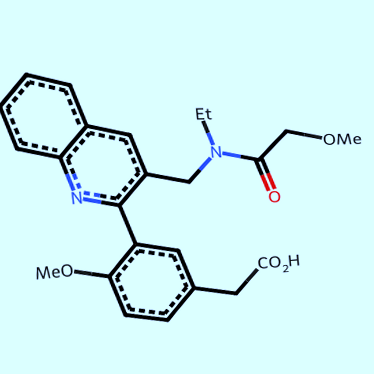 CCN(Cc1cc2ccccc2nc1-c1cc(CC(=O)O)ccc1OC)C(=O)COC